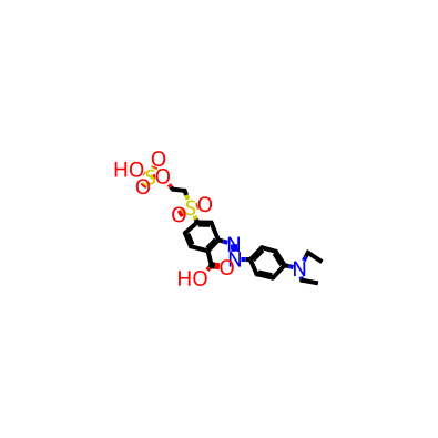 CCN(CC)c1ccc(N=Nc2cc(S(=O)(=O)CCOS(=O)(=O)O)ccc2C(=O)O)cc1